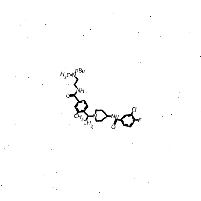 CCCCN(C)CCNC(=O)c1ccc(C(C)N2CCC(NC(=O)c3ccc(F)c(Cl)c3)CC2)c(C)c1